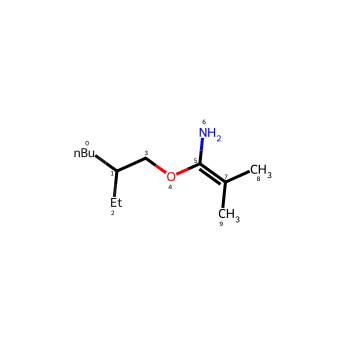 CCCCC(CC)COC(N)=C(C)C